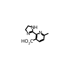 Cc1ccc(C(=O)O)c(C2=NCCN2)n1